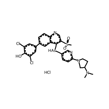 CN(C)C1CCN(c2ccc([AsH]c3c(S(C)(=O)=O)cnc4ccc(-c5cc(Cl)c(O)c(Cl)c5)cc34)cn2)C1.Cl